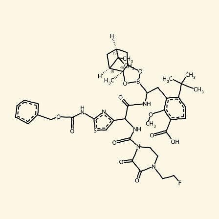 COc1c(C(=O)O)ccc(C(C)(C)C)c1CC(NC(=O)C(NC(=O)N1CCN(CCF)C(=O)C1=O)c1csc(NC(=O)OCc2ccccc2)n1)B1OC2C[C@@H]3C[C@@H](C3(C)C)[C@]2(C)O1